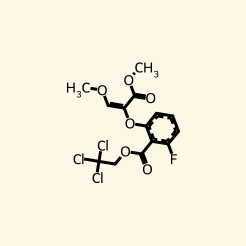 CO/C=C(/Oc1cccc(F)c1C(=O)OCC(Cl)(Cl)Cl)C(=O)OC